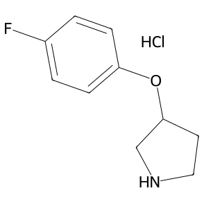 Cl.Fc1ccc(OC2CCNC2)cc1